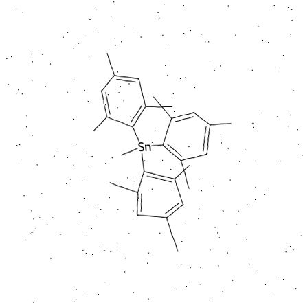 Cc1cc(C)[c]([Sn]([CH3])([c]2c(C)cc(C)cc2C)[c]2c(C)cc(C)cc2C)c(C)c1